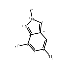 [2H]c1cc(F)c2nn(C)cc2c1